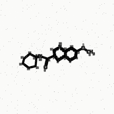 COc1ccc2cc(C(=O)NC3CCCCC3)cnc2c1